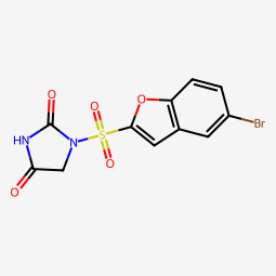 O=C1CN(S(=O)(=O)c2cc3cc(Br)ccc3o2)C(=O)N1